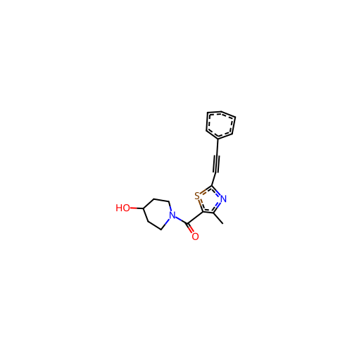 Cc1nc(C#Cc2ccccc2)sc1C(=O)N1CCC(O)CC1